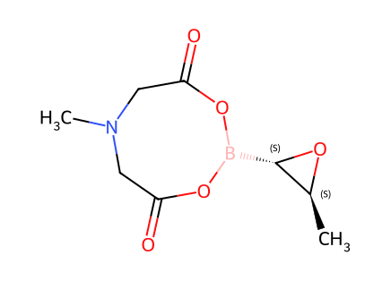 C[C@@H]1O[C@H]1B1OC(=O)CN(C)CC(=O)O1